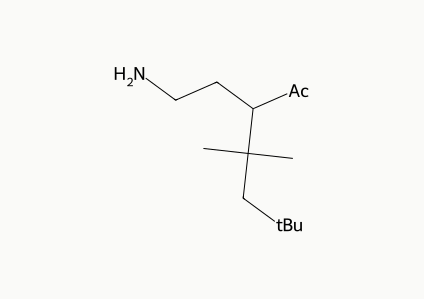 CC(=O)C(CCN)C(C)(C)CC(C)(C)C